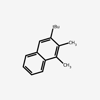 Cc1c(C(C)(C)C)cc2ccccc2c1C